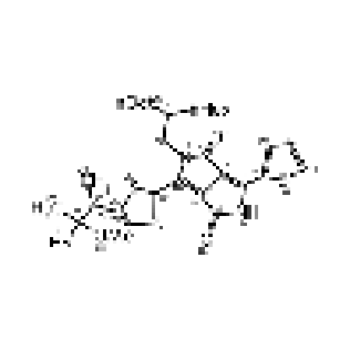 CCCCCCCCC(CCCCCC)CN1C(=O)C2=C(c3cccs3)NC(=O)C2=C1c1ccc([C@H](C)C(C)(S)OC)s1